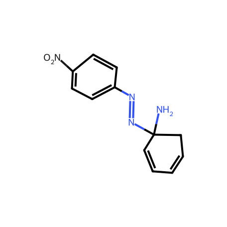 NC1(N=Nc2ccc([N+](=O)[O-])cc2)C=CC=CC1